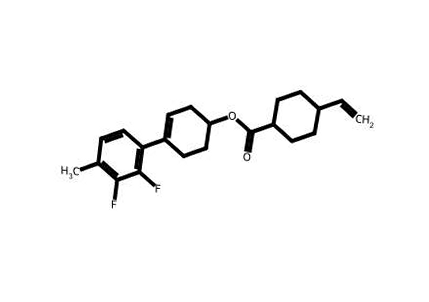 C=CC1CCC(C(=O)OC2CC=C(c3ccc(C)c(F)c3F)CC2)CC1